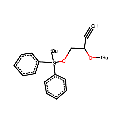 C#CC(CO[Si](c1ccccc1)(c1ccccc1)C(C)(C)C)OC(C)(C)C